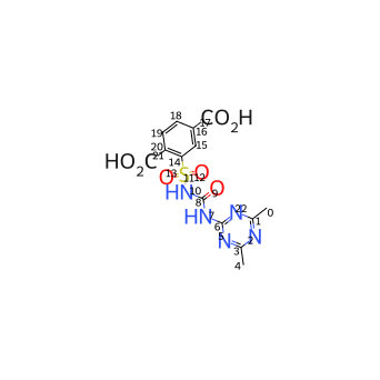 Cc1nc(C)nc(NC(=O)NS(=O)(=O)c2cc(C(=O)O)ccc2C(=O)O)n1